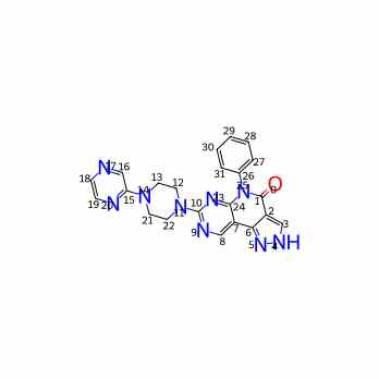 O=c1c2c[nH]nc2c2cnc(N3CCN(c4cnccn4)CC3)nc2n1-c1ccccc1